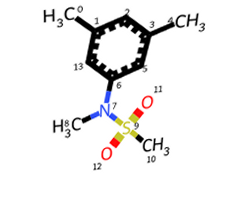 Cc1cc(C)cc(N(C)S(C)(=O)=O)c1